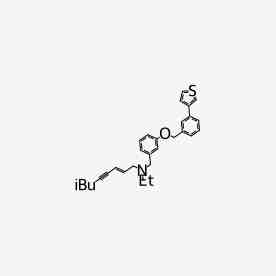 CCC(C)C#CC=CCN(CC)Cc1cccc(OCc2cccc(-c3ccsc3)c2)c1